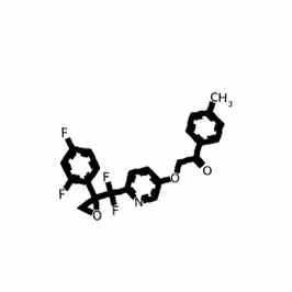 Cc1ccc(C(=O)COc2ccc(C(F)(F)C3(c4ccc(F)cc4F)CO3)nc2)cc1